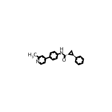 Cc1cc(-c2ccc(NC(=O)[C@@H]3C[C@H]3c3ccccc3)cc2)ccn1